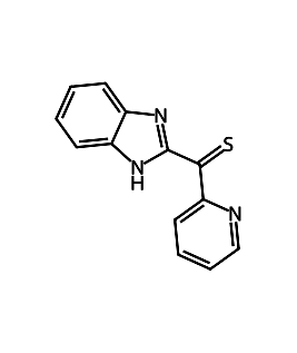 S=C(c1ccccn1)c1nc2ccccc2[nH]1